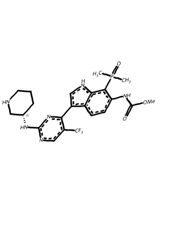 COC(=O)Nc1ccc2c(-c3nc(N[C@H]4CCCNC4)ncc3C(F)(F)F)c[nH]c2c1P(C)(C)=O